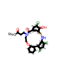 COC(=O)CCN1CCOc2ccccc2-c2cc(c(F)cc2F)NSc2cc(cc(Cl)c2O)C1=O